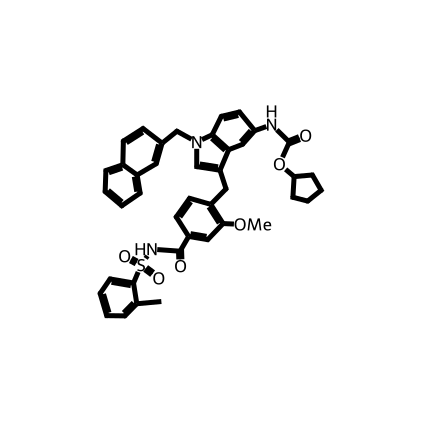 COc1cc(C(=O)NS(=O)(=O)c2ccccc2C)ccc1Cc1cn(Cc2ccc3ccccc3c2)c2ccc(NC(=O)OC3CCCC3)cc12